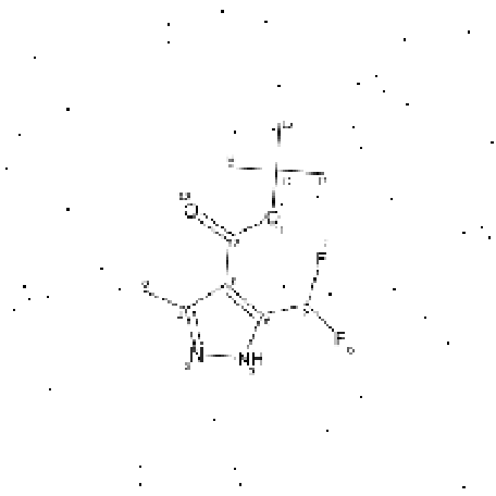 Cc1n[nH]c(C(F)F)c1C(=O)OC(C)(C)C